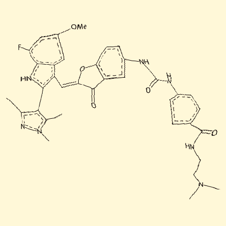 COc1cc(F)c2[nH]c(-c3c(C)nn(C)c3C)c(/C=C3\Oc4ccc(NC(=O)Nc5ccc(C(=O)NCCN(C)C)cc5)cc4C3=O)c2c1